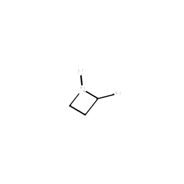 [2H]C1CCN1[2H]